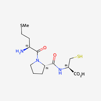 CSCC[C@H](N)C(=O)N1CCC[C@H]1C(=O)N[C@@H](CS)C(=O)O